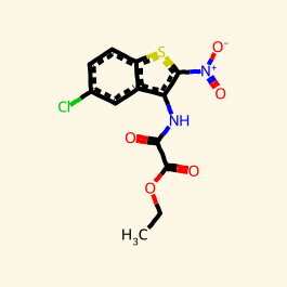 CCOC(=O)C(=O)Nc1c([N+](=O)[O-])sc2ccc(Cl)cc12